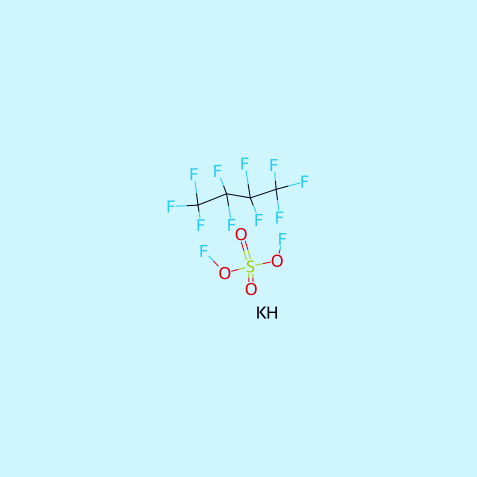 FC(F)(F)C(F)(F)C(F)(F)C(F)(F)F.O=S(=O)(OF)OF.[KH]